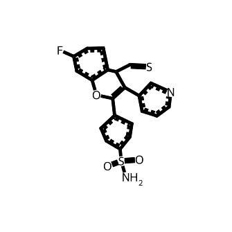 NS(=O)(=O)c1ccc(C2=C(c3cccnc3)C(C=S)c3ccc(F)cc3O2)cc1